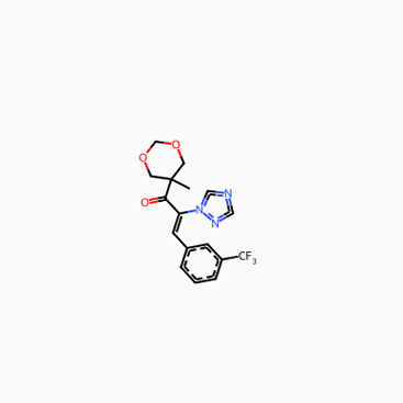 CC1(C(=O)C(=Cc2cccc(C(F)(F)F)c2)n2cncn2)COCOC1